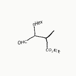 CCCCCCC(C=O)C(C)C(=O)OCC